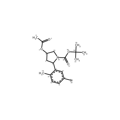 CC(=O)OC1CC(c2cc(Br)ccc2C)N(C(=O)OC(C)(C)C)C1